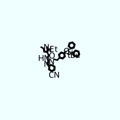 CCn1nc(C)cc1C(=O)Nc1nc2cc(C#N)ccc2n1CCc1ccc(O[Si](c2ccccc2)(c2ccccc2)C(C)(C)C)cc1